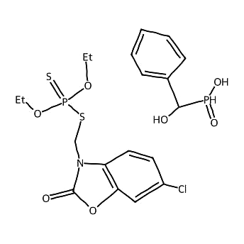 CCOP(=S)(OCC)SCn1c(=O)oc2cc(Cl)ccc21.O=[PH](O)C(O)c1ccccc1